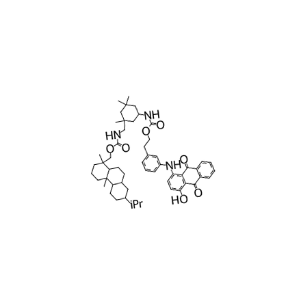 CC(C)C1CCC2C(CCC3C(C)(COC(=O)NCC4(C)CC(NC(=O)OCCc5cccc(Nc6ccc(O)c7c6C(=O)c6ccccc6C7=O)c5)CC(C)(C)C4)CCCC23C)C1